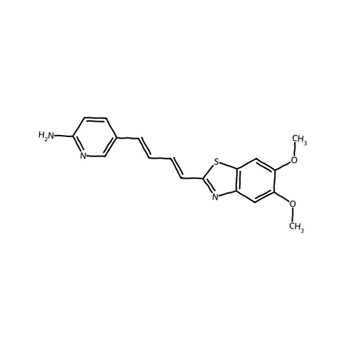 COc1cc2nc(C=CC=Cc3ccc(N)nc3)sc2cc1OC